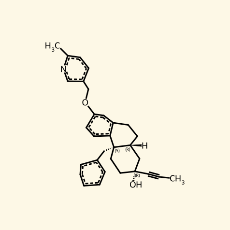 CC#C[C@@]1(O)CC[C@@]2(Cc3ccccc3)c3ccc(OCc4ccc(C)nc4)cc3CC[C@@H]2C1